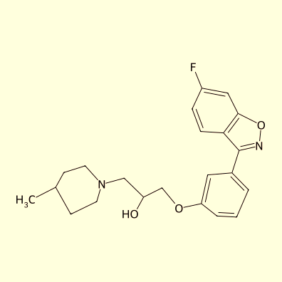 CC1CCN(CC(O)COc2cccc(-c3noc4cc(F)ccc34)c2)CC1